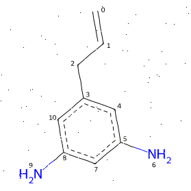 C=CCc1cc(N)cc(N)c1